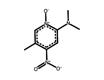 Cc1c[n+]([O-])c(N(C)C)cc1[N+](=O)[O-]